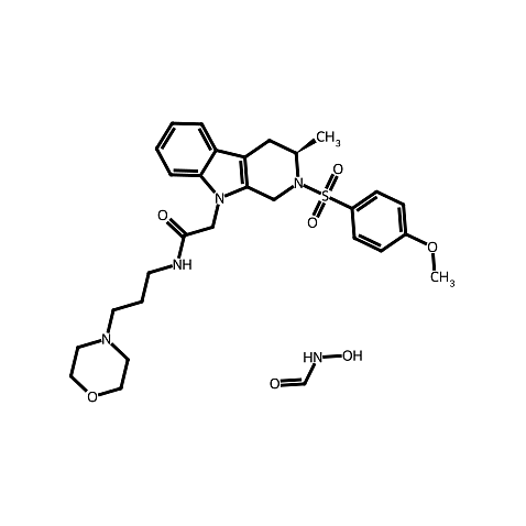 COc1ccc(S(=O)(=O)N2Cc3c(c4ccccc4n3CC(=O)NCCCN3CCOCC3)C[C@H]2C)cc1.O=CNO